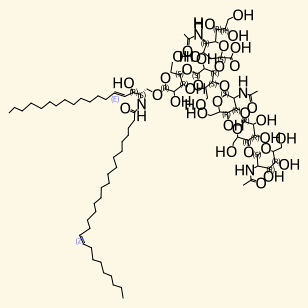 CCCCCCCC/C=C\CCCCCCCCCCCCCCCC(=O)N[C@@H](CO[C@@H]1OC(CO)[C@@H](O[C@@H]2OC(CO)[C@H](O[C@@H]3OC(CO)[C@H](O)[C@H](O[C@@H]4OC(CO)[C@H](O[C@@H]5OC(CO)[C@H](O)[C@H](O)C5NC(C)=O)[C@H](O)C4O)C3NC(C)=O)[C@H](O[C@]3(C(=O)O)CC(O)[C@@H](NC(C)=O)C([C@H](O)[C@H](O)CO)O3)C2O)[C@H](O)C1O)[C@H](O)/C=C/CCCCCCCCCCCCC